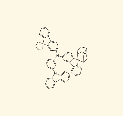 c1cc(N(c2ccc3c(c2)-c2ccccc2C32C3CCC4CC2CC4C3)c2ccc3c(c2)C2(CCCC2)c2ccccc2-3)cc(-n2c3ccccc3c3ccccc32)c1